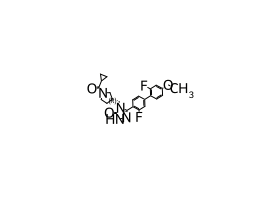 COc1ccc(-c2ccc(-c3n[nH]c(=O)n3C[C@@H]3CCN(C(=O)C4CC4)C3)c(F)c2)c(F)c1